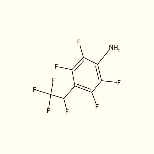 Nc1c(F)c(F)c(C(F)C(F)(F)F)c(F)c1F